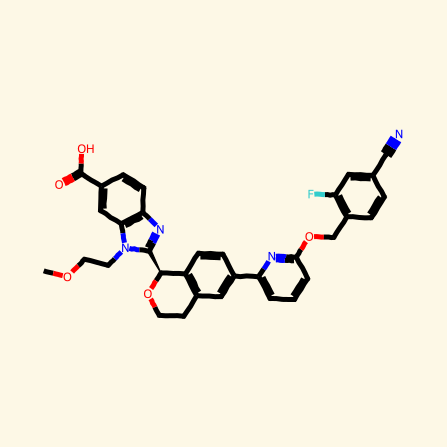 COCCn1c([C@@H]2OCCc3cc(-c4cccc(OCc5ccc(C#N)cc5F)n4)ccc32)nc2ccc(C(=O)O)cc21